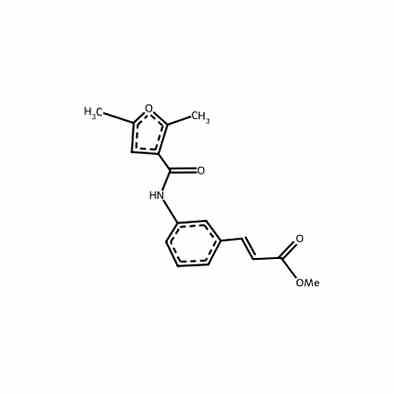 COC(=O)C=Cc1cccc(NC(=O)c2cc(C)oc2C)c1